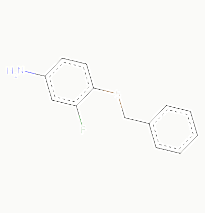 Nc1ccc(SCc2ccccc2)c(F)c1